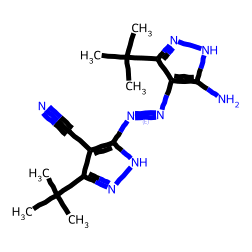 CC(C)(C)c1n[nH]c(/N=N/c2c(C(C)(C)C)n[nH]c2N)c1C#N